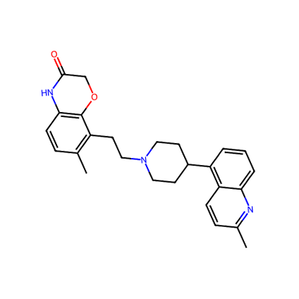 Cc1ccc2c(C3CCN(CCc4c(C)ccc5c4OCC(=O)N5)CC3)cccc2n1